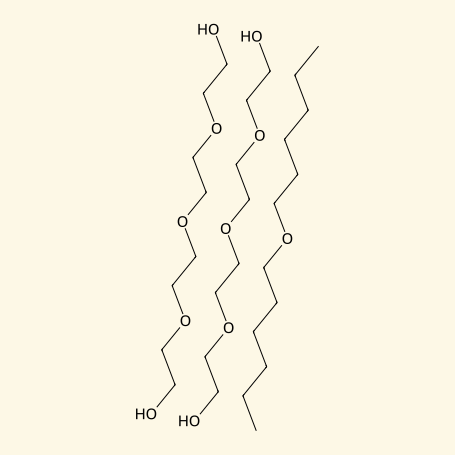 CCCCCCOCCCCCC.OCCOCCOCCOCCO.OCCOCCOCCOCCO